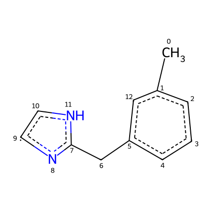 Cc1cccc(Cc2n[c]c[nH]2)c1